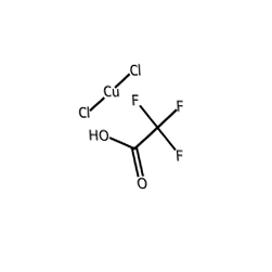 O=C(O)C(F)(F)F.[Cl][Cu][Cl]